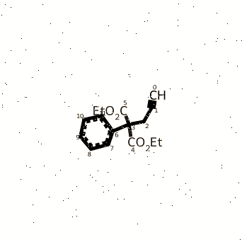 C#CCC(C(=O)OCC)(C(=O)OCC)c1ccccc1